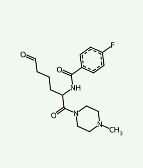 CN1CCN(C(=O)C(CCCC=O)NC(=O)c2ccc(F)cc2)CC1